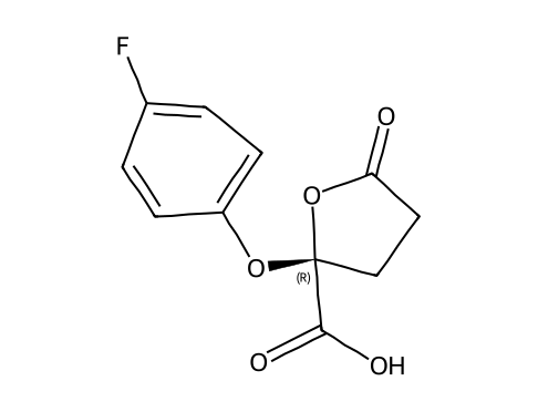 O=C1CC[C@](Oc2ccc(F)cc2)(C(=O)O)O1